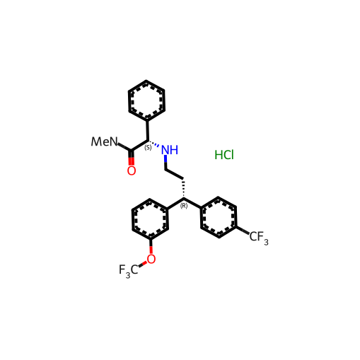 CNC(=O)[C@@H](NCC[C@H](c1ccc(C(F)(F)F)cc1)c1cccc(OC(F)(F)F)c1)c1ccccc1.Cl